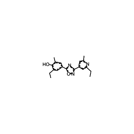 CCc1cc(-c2noc(-c3cc(C)c(O)c(CC)c3)n2)cc(C)n1